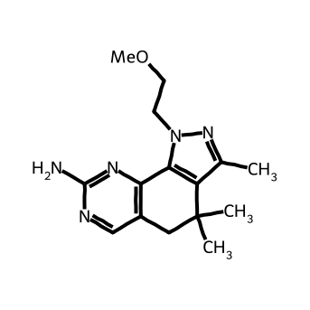 COCCn1nc(C)c2c1-c1nc(N)ncc1CC2(C)C